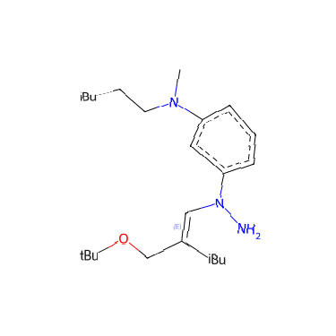 CCC(C)CCN(C)c1cccc(N(N)/C=C(/COC(C)(C)C)C(C)CC)c1